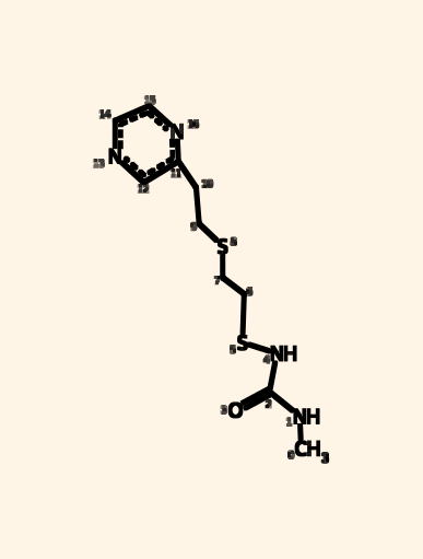 CNC(=O)NSCCSCCc1cnccn1